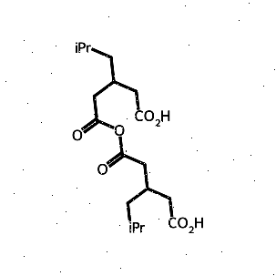 CC(C)CC(CC(=O)O)CC(=O)OC(=O)CC(CC(=O)O)CC(C)C